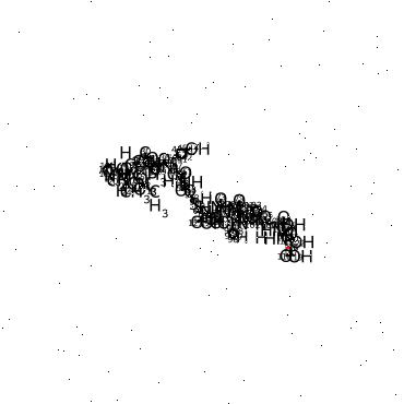 CCCC(=O)OCN(C(=O)[C@@H](NC(=O)[C@H]1CCCCN1C)C(C)CC)[C@H](C[C@@H](OC(C)=O)c1nc(C(=O)N[C@@H](Cc2ccc(O)cc2)C[C@H](C)C(=O)NNC(=O)OCCSSC[C@@H](NC(=O)[C@H](CC(=O)O)NC(=O)[C@@H](N)CNC(=O)[C@H](Cc2ccccc2)NC(=O)[C@H](Cc2ccccc2)NC(=O)CCNC(=O)CC[C@H](NC(=O)N[C@@H](CCC(=O)O)C(=O)O)C(=O)O)C(=O)O)cs1)C(C)C